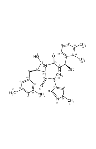 CC[C@@H](NC(=O)N1C(O)[C@H](Cc2cc(C)nc(N)c2)[C@H]1C(=O)N(C)c1cnn(C)c1)c1cccc(C)c1C